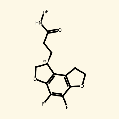 CCCNC(=O)CC[C@@H]1COc2c(F)c(F)c3c(c21)CCO3